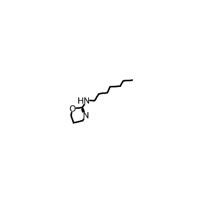 CCCCCCCNC1=NCCCO1